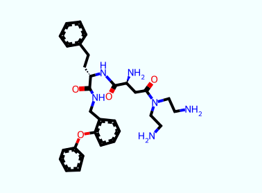 NCCN(CCN)C(=O)C[C@H](N)C(=O)N[C@@H](CCc1ccccc1)C(=O)NCc1ccccc1Oc1ccccc1